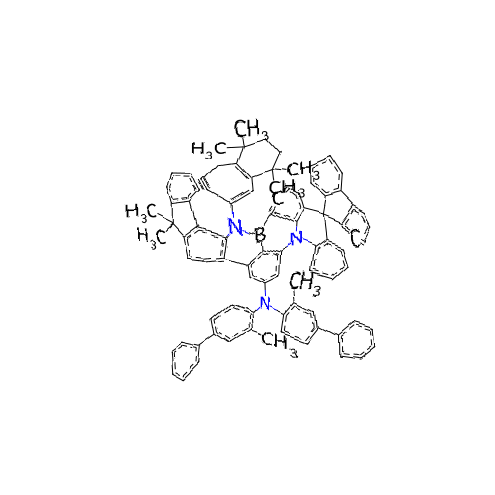 Cc1cc(-c2ccccc2)ccc1N(c1cc2c3c(c1)N1c4ccccc4C4(c5ccccc5-c5ccccc54)c4cccc(c41)B3N(C1=CC3=C(CC#C1)C(C)(C)CCC3(C)C)c1c-2ccc2c1-c1ccccc1C2(C)C)c1ccc(-c2ccccc2)cc1C